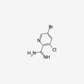 N=C(N)c1ncc(Br)cc1Cl